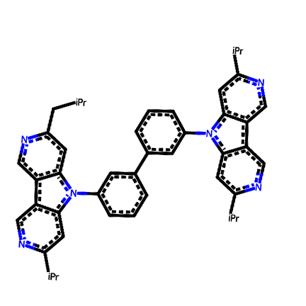 CC(C)Cc1cc2c(cn1)c1cnc(C(C)C)cc1n2-c1cccc(-c2cccc(-n3c4cc(C(C)C)ncc4c4cnc(C(C)C)cc43)c2)c1